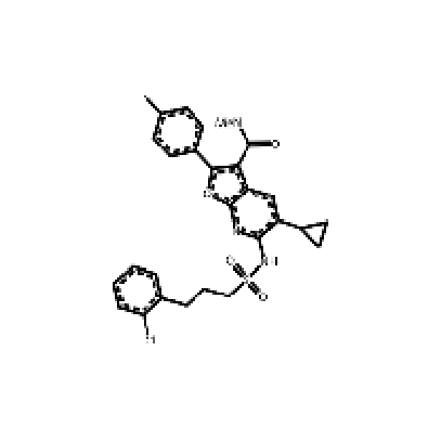 CNC(=O)c1c(-c2ccc(C)cc2)oc2nc(NS(=O)(=O)CCCc3ccccc3Cl)c(C3CC3)cc12